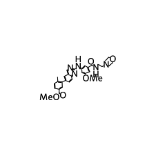 COC(=O)c1ccc(C)c(-c2ccc3nc(Nc4cc(OC)cc(C(=O)NCCN5CCOCC5)c4)ncc3c2)c1